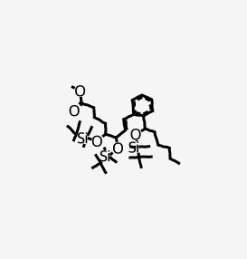 CCCCCC(O[Si](C)(C)C(C)(C)C)c1ccccc1C=CC(O[Si](C)(C)C(C)(C)C)C(CCCC(=O)OC)O[Si](C)(C)C(C)(C)C